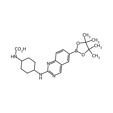 CC1(C)OB(c2ccc3nc(NC4CCC(NC(=O)O)CC4)ncc3c2)OC1(C)C